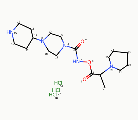 CC(C(=O)ONC(=O)N1CCN(C2CCNCC2)CC1)N1CCCCC1.Cl.Cl.Cl